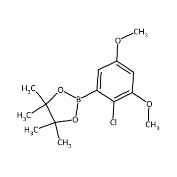 COc1cc(OC)c(Cl)c(B2OC(C)(C)C(C)(C)O2)c1